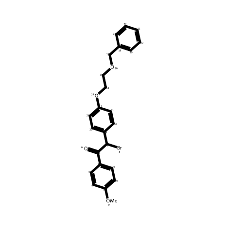 COc1ccc(C(=O)C(Br)c2ccc(OCCOCc3ccccc3)cc2)cc1